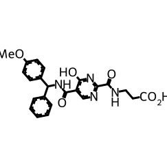 COc1ccc(C(NC(=O)c2cnc(C(=O)NCCC(=O)O)nc2O)c2ccccc2)cc1